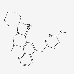 CSc1ccc(Cc2cc3c(c4ncccc24)N(C)CN([C@H]2CCCCC[C@@H]2O)C3=O)cn1